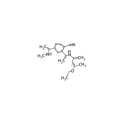 C=C(/C=C(\C)OCC)NC(=C)c1cc(C(=C)NC)ccc1C#N